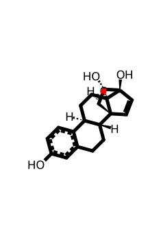 C[C@]12CC[C@@H]3c4ccc(O)cc4CC[C@H]3[C@@]13C=C[C@@]2(O)[C@@H](O)C3